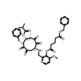 COc1ccnc(CN[C@H]2CC(=O)C(=O)[C@H](Cc3ccccc3)[C@H](OC(=O)C(C)C)[C@H](C)C(=O)C2=O)c1OC(=O)CCCC(=O)OCc1ccccc1